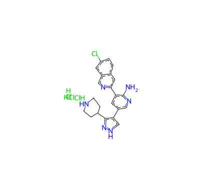 Cl.Cl.Cl.Nc1ncc(-c2c[nH]nc2C2CCNCC2)cc1-c1cc2ccc(Cl)cc2cn1